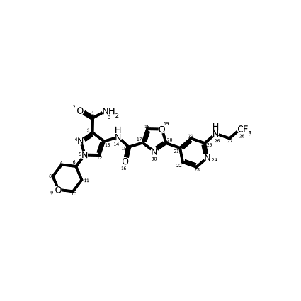 NC(=O)c1nn(C2CCOCC2)cc1NC(=O)c1coc(-c2ccnc(NCC(F)(F)F)c2)n1